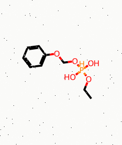 CCO[PH](O)(O)OCOc1ccccc1